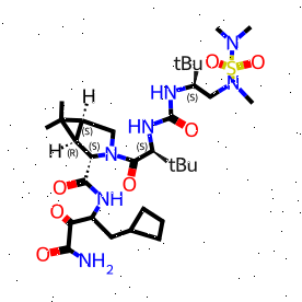 CN(C)S(=O)(=O)N(C)C[C@@H](NC(=O)N[C@H](C(=O)N1C[C@H]2[C@@H]([C@H]1C(=O)NC(CC1CCC1)C(=O)C(N)=O)C2(C)C)C(C)(C)C)C(C)(C)C